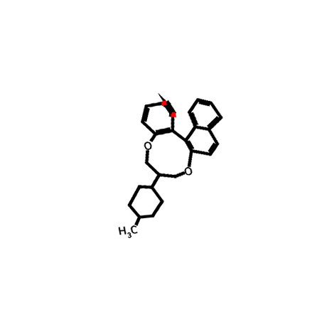 CC1CCC(C2COc3ccc4ccccc4c3-c3c(ccc4ccccc34)OC2)CC1